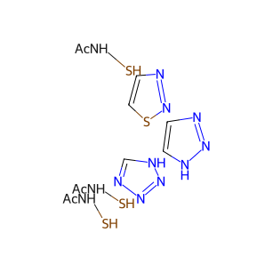 CC(=O)NS.CC(=O)NS.CC(=O)NS.c1c[nH]nn1.c1csnn1.c1nnn[nH]1